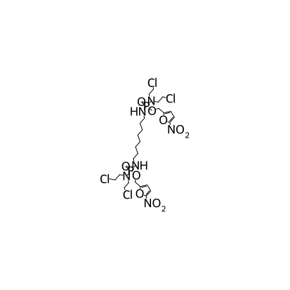 O=[N+]([O-])c1ccc(COP(=O)(NCCCCCCCCNP(=O)(OCc2ccc([N+](=O)[O-])o2)N(CCCl)CCCl)N(CCCl)CCCl)o1